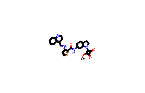 COc1c(N2CCc3ccc(NC(=O)c4sccc4NCc4ccnc5ccccc45)cc32)c(=O)c1=O